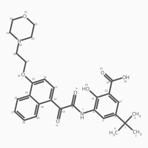 CC(C)(C)c1cc(NC(=O)C(=O)c2ccc(OCCN3CCOCC3)c3ccccc23)c(O)c(C(=O)O)c1